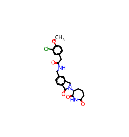 COc1ccc(CC(=O)NCc2ccc3c(c2)CN([C@H]2CCCC(=O)NC2=O)C3=O)cc1Cl